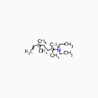 C=C[Si](C)(C)CC[Si](C)(C)N(CC)CC